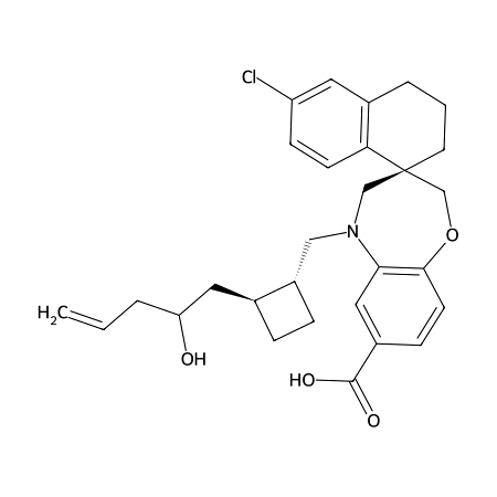 C=CCC(O)C[C@@H]1CC[C@H]1CN1C[C@@]2(CCCc3cc(Cl)ccc32)COc2ccc(C(=O)O)cc21